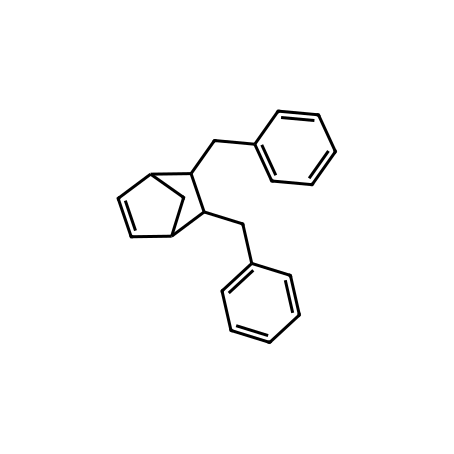 C1=CC2CC1C(Cc1ccccc1)C2Cc1ccccc1